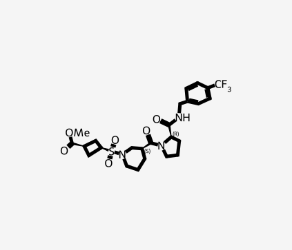 COC(=O)[C@H]1C[C@@H](S(=O)(=O)N2CCC[C@H](C(=O)N3CCC[C@@H]3C(=O)NCc3ccc(C(F)(F)F)cc3)C2)C1